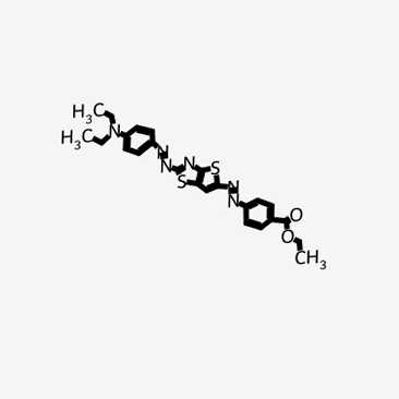 CCOC(=O)c1ccc(N=Nc2cc3sc(N=Nc4ccc(N(CC)CC)cc4)nc3s2)cc1